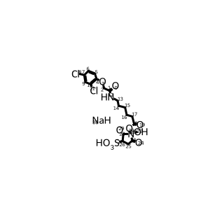 O=C(COc1ccc(Cl)cc1Cl)NCCCCCC(=O)O[N+]1(O)C(=O)CC(S(=O)(=O)O)C1=O.[NaH]